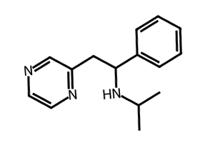 CC(C)NC(Cc1cnccn1)c1ccccc1